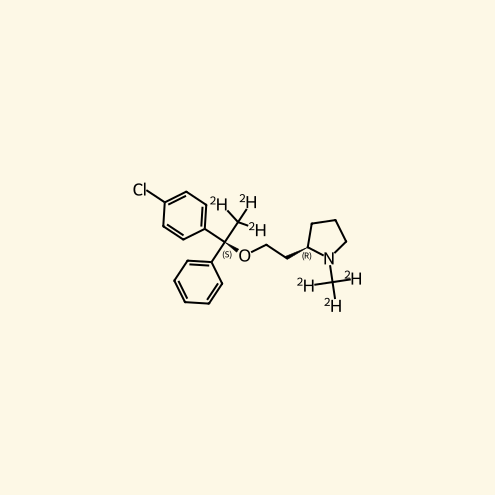 [2H]C([2H])([2H])N1CCC[C@@H]1CCO[C@@](c1ccccc1)(c1ccc(Cl)cc1)C([2H])([2H])[2H]